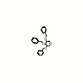 [CH]1OC[C@@H](OCc2ccccc2)[C@H](OCc2ccccc2)[C@H]1OCc1ccccc1